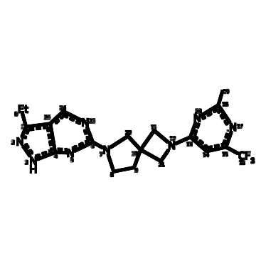 CCc1n[nH]c2nc(N3CCC4(CN(c5cc(C(F)(F)F)nc(C)n5)C4)C3)ncc12